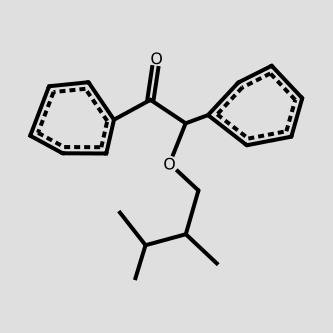 CC(C)C(C)COC(C(=O)c1ccccc1)c1ccccc1